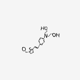 O=Cc1ccc(C=Cc2ccc(N(CCO)CCO)cc2)s1